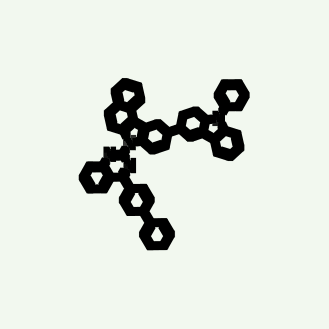 C1=CCCC(N2C3CCC(C4C=Cc5c(c6c7ccccc7ccc6n5-c5nc(C6=CCC(C7=CCCC=C7)C=C6)c6ccccc6n5)C4)C=C3C3C=CC=CC32)=C1